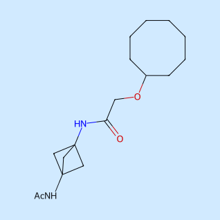 CC(=O)NC12CC(NC(=O)COC3CCCCCCC3)(C1)C2